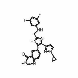 Cn1cnc2ccc(-c3[nH]c(CNc4cc(F)cc(F)c4)nc3-c3ccn(C4CC4)n3)cc2c1=O